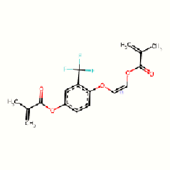 C=C(C)C(=O)O/C=C\Oc1ccc(OC(=O)C(=C)C)cc1C(F)(F)F